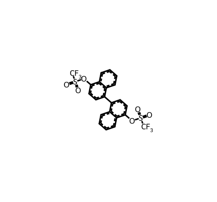 O=S(=O)(Oc1ccc(-c2ccc(OS(=O)(=O)C(F)(F)F)c3ccccc23)c2ccccc12)C(F)(F)F